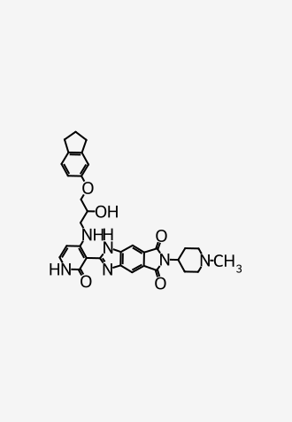 CN1CCC(N2C(=O)c3cc4nc(-c5c(NCC(O)COc6ccc7c(c6)CCC7)cc[nH]c5=O)[nH]c4cc3C2=O)CC1